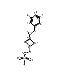 CS(=O)(=O)OCC1C[C](OCc2ccccc2)C1